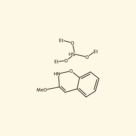 CCO[SiH](OCC)OCC.COC1=Cc2ccccc2ON1